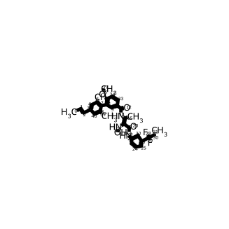 C/C=C/c1cc(C)c(-c2cc(C(=O)N/C(C)=C(\NO)C(=O)Nc3cccc(C(F)(F)CC)c3)ccc2OC)c(C)c1